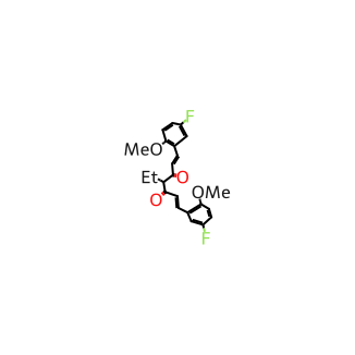 CCC(C(=O)C=Cc1cc(F)ccc1OC)C(=O)C=Cc1cc(F)ccc1OC